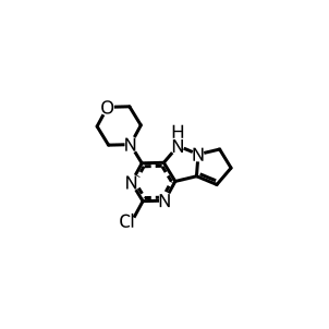 Clc1nc2c(c(N3CCOCC3)n1)NN1CCC=C21